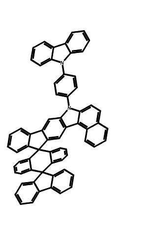 c1ccc2c(c1)-c1ccccc1C21c2ccccc2C2(c3ccccc3-c3cc4c(cc32)c2c3ccccc3ccc2n4-c2ccc(-n3c4ccccc4c4ccccc43)cc2)c2ccccc21